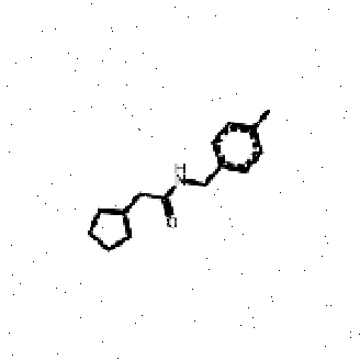 Cc1ccc(CNC(=O)CC2CCCC2)cc1